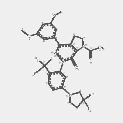 COc1cc(OC)cc(-c2nn(-c3cc(N4CCC(F)(F)C4)ccc3C(F)(F)F)c(=O)c3c2CCN3C(N)=O)c1